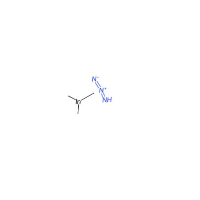 [CH3][In]([CH3])[CH3].[N-]=[N+]=N